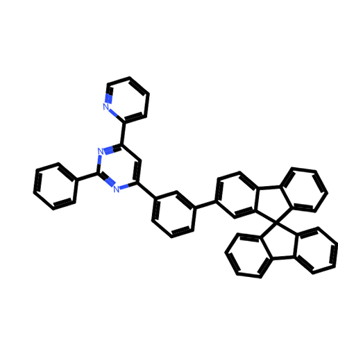 c1ccc(-c2nc(-c3cccc(-c4ccc5c(c4)C4(c6ccccc6-c6ccccc64)c4ccccc4-5)c3)cc(-c3ccccn3)n2)cc1